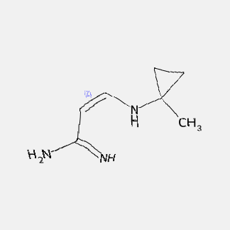 CC1(N/C=C\C(=N)N)CC1